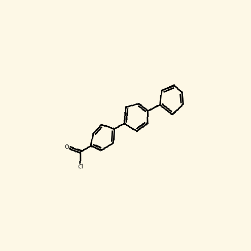 O=C(Cl)c1ccc(-c2ccc(-c3ccccc3)cc2)cc1